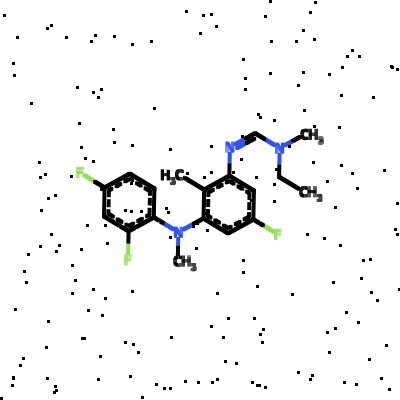 CCN(C)/C=N\c1cc(F)cc(N(C)c2ccc(F)cc2F)c1C